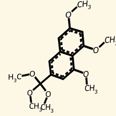 COc1cc(OC)c2c(OC)cc(C(OC)(OC)OC)cc2c1